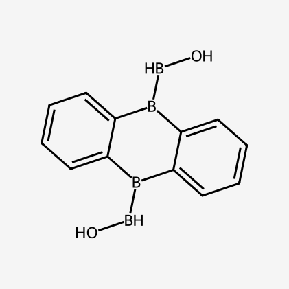 OBB1c2ccccc2B(BO)c2ccccc21